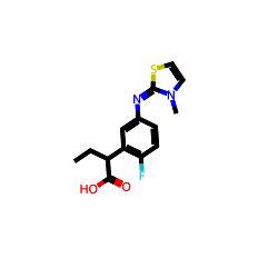 CCC(C(=O)O)c1cc(N=c2sccn2C)ccc1F